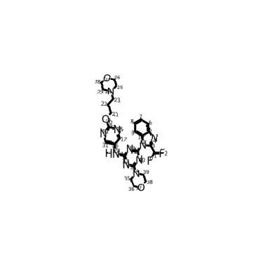 FC(F)c1nc2ccccc2n1-c1nc(Nc2cnc(OCCCN3CCOCC3)nc2)nc(N2CCOCC2)n1